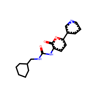 O=C(NCC1CCCCC1)Nc1ccc(-c2cccnc2)oc1=O